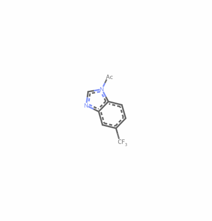 CC(=O)n1cnc2cc(C(F)(F)F)ccc21